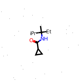 CCC(C)(NC(=O)C1CC1)C(C)C